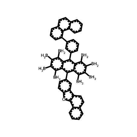 Bc1c(B)c(B)c2c(-c3ccc4oc5c6ccccc6ccc5c4c3)c3c(B)c(B)c(B)c(B)c3c(-c3cccc(-c4cccc5ccc6ccccc6c45)c3)c2c1B